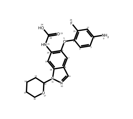 Nc1ccc(Oc2cc3cnn(C4CCCCO4)c3cc2NC(=O)O)c(F)c1